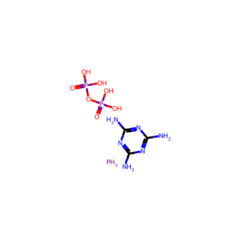 Nc1nc(N)nc(N)n1.O=P(O)(O)OP(=O)(O)O.P